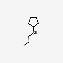 CCC[SiH]C1CCCC1